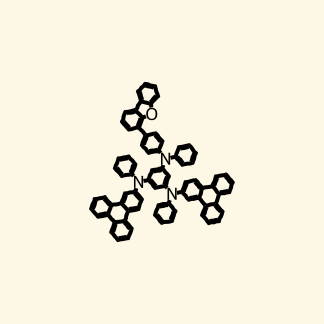 c1ccc(N(c2ccc(-c3cccc4c3oc3ccccc34)cc2)c2cc(N(c3ccccc3)c3ccc4c5ccccc5c5ccccc5c4c3)cc(N(c3ccccc3)c3ccc4c5ccccc5c5ccccc5c4c3)c2)cc1